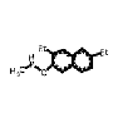 CCc1ccc2cc(OPC)c(CC)cc2c1